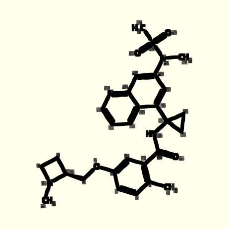 Cc1ccc(OC[C@@H]2CCN2C)cc1C(=O)NC1(c2cc(N(C)S(C)(=O)=O)cc3ncccc23)CC1